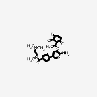 CC(Oc1cc(-c2ccc(C(=O)N(C)CCN(C)C)cc2)cnc1N)c1c(Cl)ccc(F)c1Cl